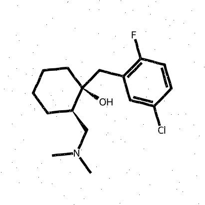 CN(C)C[C@H]1CCCC[C@]1(O)Cc1cc(Cl)ccc1F